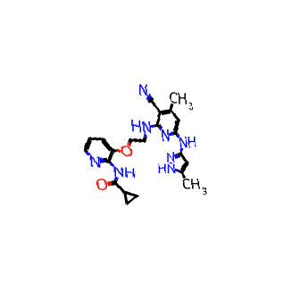 Cc1cc(Nc2cc(C)c(C#N)c(NCCOc3cccnc3NC(=O)C3CC3)n2)n[nH]1